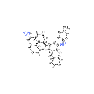 Nc1cc2cccc3ccc4cccc1c4c32.O=[N+]([O-])c1ccc(Nc2cccc3cc4ccccc4cc23)cc1